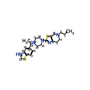 CCCN1CCc2nc(N3CCN(C(C)c4ccc5c(c4)NCS5)CC3)sc2C1